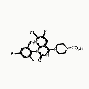 Cc1cc(Br)cc(C(C)C)c1-n1c(=O)nc(N2CCN(C(=O)O)CC2)c2cc(F)c(Cl)nc21